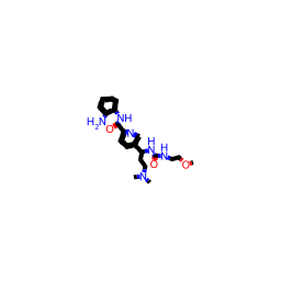 COCCNC(=O)NC(CCN(C)C)c1ccc(C(=O)Nc2ccccc2N)nc1